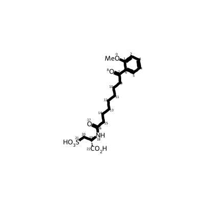 COc1ccccc1C(=O)CCCCCCCC(=O)N[C@@H](CS(=O)(=O)O)C(=O)O